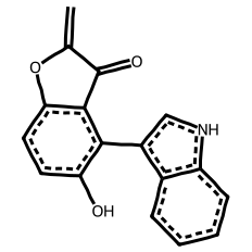 C=C1Oc2ccc(O)c(-c3c[nH]c4ccccc34)c2C1=O